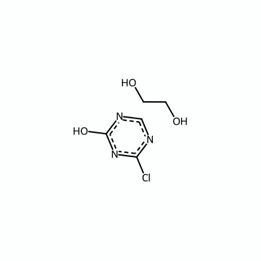 OCCO.Oc1ncnc(Cl)n1